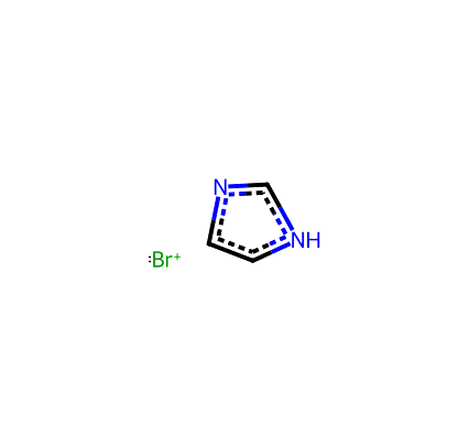 [Br+].c1c[nH]cn1